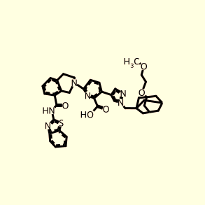 COCCOC12CC3CC(CC(Cn4cc(-c5ccc(N6CCc7cccc(C(=O)Nc8nc9ccccc9s8)c7C6)nc5C(=O)O)cn4)(C3)C1)C2